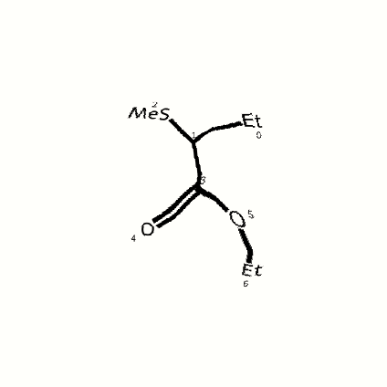 [CH2]CC(SC)C(=O)OCC